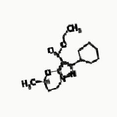 CCOC(=O)c1c(C2CCCCC2)nn2c1O[C@H](C)CC2